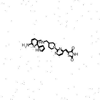 Nc1ccc(CNCC2CCN(c3nccc(/C=C4\SC(=O)NC4=O)n3)CC2)c(-c2ccc[nH]2)n1